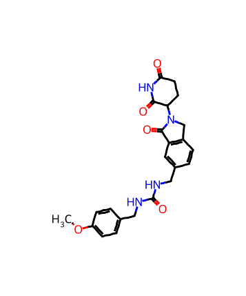 COc1ccc(CNC(=O)NCc2ccc3c(c2)C(=O)N(C2CCC(=O)NC2=O)C3)cc1